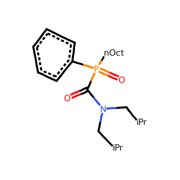 CCCCCCCCP(=O)(C(=O)N(CC(C)C)CC(C)C)c1ccccc1